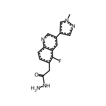 Cn1cc(-c2cnc3ccc(CC(=O)NN)c(F)c3c2)cn1